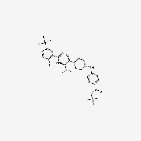 CC(C)[C@@H](NC(=O)c1cc(C(F)(F)F)ccc1F)C(=O)N1CCC(Nc2ccc(C(=O)OC(C)(C)C)cc2)CC1